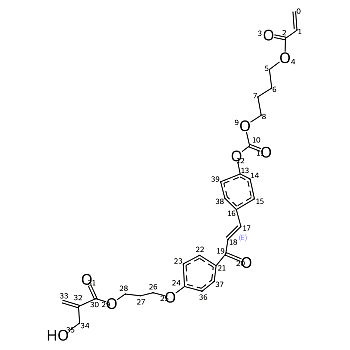 C=CC(=O)OCCCCOC(=O)Oc1ccc(/C=C/C(=O)c2ccc(OCCCOC(=O)C(=C)CO)cc2)cc1